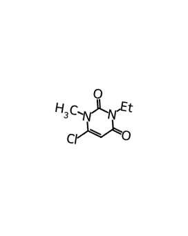 CCn1c(=O)cc(Cl)n(C)c1=O